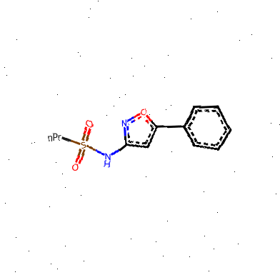 CCCS(=O)(=O)Nc1cc(-c2ccccc2)on1